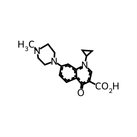 CN1CCN(c2ccc3c(=O)c(C(=O)O)cn(C4CC4)c3c2)CC1